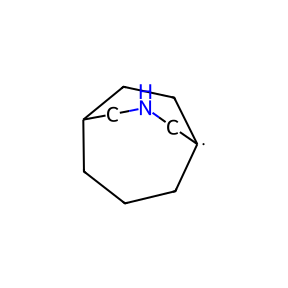 C1C[C]2CCC(C1)CNC2